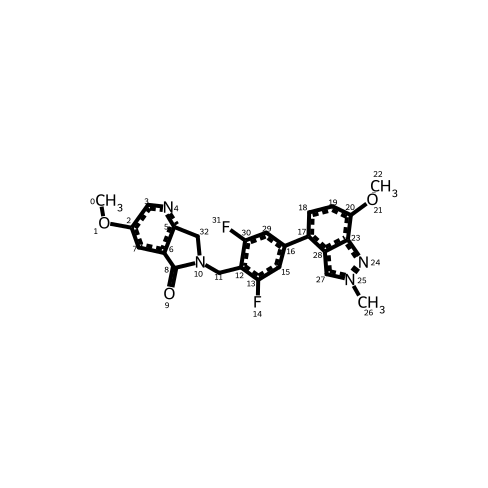 COc1cnc2c(c1)C(=O)N(Cc1c(F)cc(-c3ccc(OC)c4nn(C)cc34)cc1F)C2